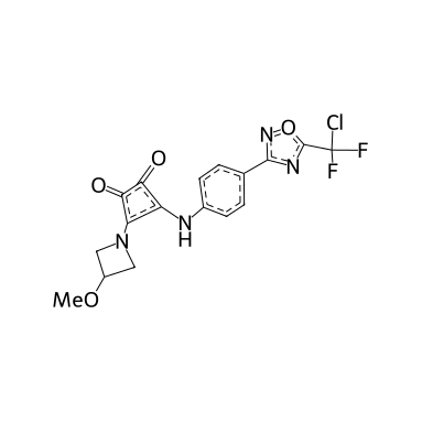 COC1CN(c2c(Nc3ccc(-c4noc(C(F)(F)Cl)n4)cc3)c(=O)c2=O)C1